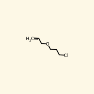 C=CCOCCCCl